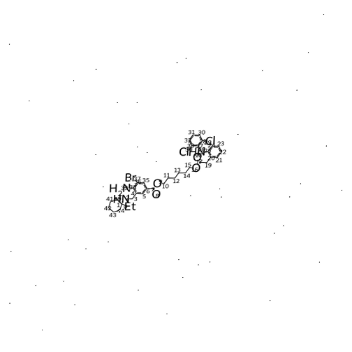 CCC1(NCc2cc(C(=O)OCCCCCCOC(=O)Cc3ccccc3Nc3c(Cl)cccc3Cl)cc(Br)c2N)CCCCC1